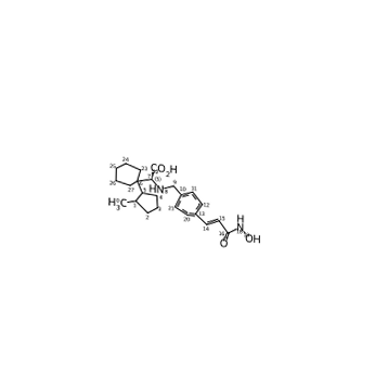 CC1CCCC1C1([C@H](NCc2ccc(C=CC(=O)NO)cc2)C(=O)O)CCCCC1